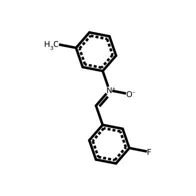 Cc1cccc([N+]([O-])=Cc2cccc(F)c2)c1